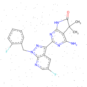 CC1(C)C(=O)Nc2nc(-c3nn(Cc4ccccc4F)c4ncc(F)cc34)nc(N)c21